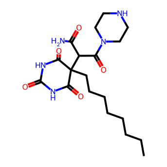 CCCCCCCCC1(C(C(N)=O)C(=O)N2CCNCC2)C(=O)NC(=O)NC1=O